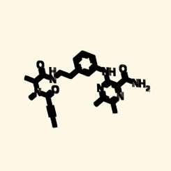 CC#CC(=O)N(C)C(C)C(=O)NCCc1cccc(Nc2nc(C)c(C)nc2C(N)=O)c1